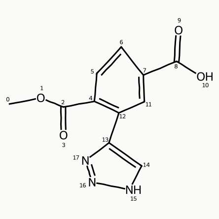 COC(=O)c1ccc(C(=O)O)cc1-c1c[nH]nn1